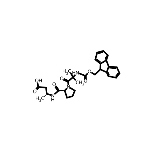 C[C@H](CC(=O)O)NC(=O)[C@@H]1CCCN1C(=O)C(C)(C)NC(=O)OCC1c2ccccc2-c2ccccc21